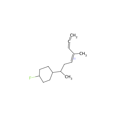 C=C=C/C(C)=C\CC(C)C1CCC(F)CC1